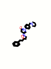 O=C1CC(N2CC=C(CCc3ccccc3)O2)CN1c1ccc(CN2CCCCC2)cc1